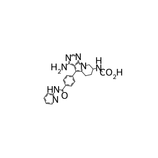 Nc1ncnc2c1c(-c1ccc(C(=O)Nc3ccccn3)cc1)c1n2CC(NC(=O)O)CC1